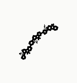 Cn1c2ccccc2c2c3c(ccc21)-c1cc(-c2ccc4c5ccc6c(c5n(I)c4c2)C(C)(C)c2cc(-c4ccc5c7cc8c(cc7n(I)c5c4)C(C)(C)c4ccccc4-8)ccc2-6)ccc1C3(C)C